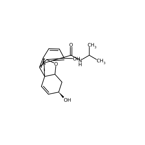 CC(C)NC(=O)N1CCC23C=C[C@H](O)CC2Oc2c(O)ccc(c23)C1